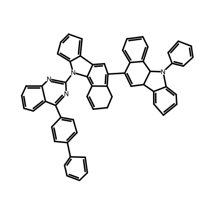 C1=Cc2c(c(C3=CC4c5ccccc5N(c5ccccc5)C4c4ccccc43)cc3c4ccccc4n(-c4nc(-c5ccc(-c6ccccc6)cc5)c5ccccc5n4)c23)CC1